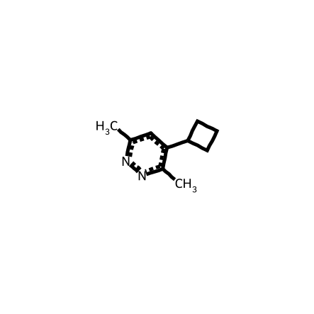 Cc1cc(C2CCC2)c(C)nn1